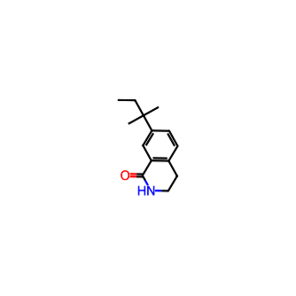 CCC(C)(C)c1ccc2c(c1)C(=O)NCC2